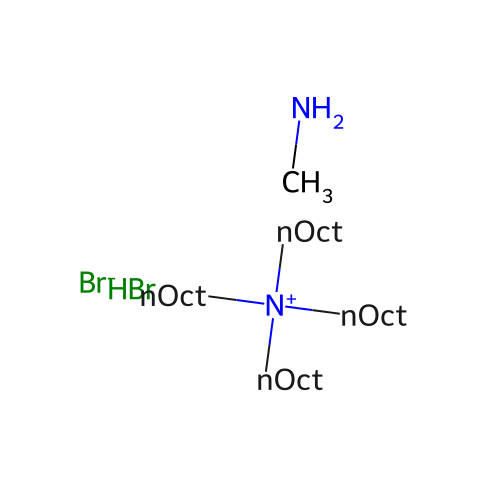 Br.CCCCCCCC[N+](CCCCCCCC)(CCCCCCCC)CCCCCCCC.CN.[Br-]